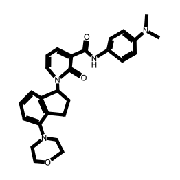 CN(C)c1ccc(NC(=O)c2cccn(C3CCc4c3cccc4N3CCOCC3)c2=O)cc1